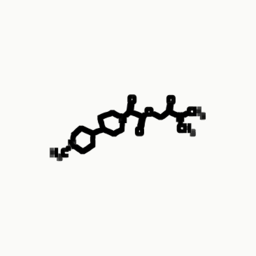 CN1CCC(C2CCN(C(=O)C(=O)OCC(=O)N(C)C)CC2)CC1